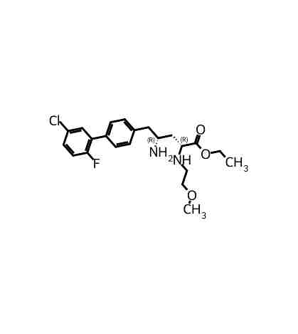 CCOC(=O)[C@@H](C[C@H](N)Cc1ccc(-c2cc(Cl)ccc2F)cc1)NCCOC